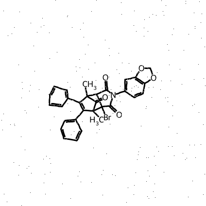 CC12C(=O)C(C)(C(c3ccccc3)=C1c1ccccc1)C1(Br)C(=O)N(c3ccc4c(c3)OCO4)C(=O)C21